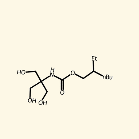 CCCCC(CC)COC(=O)NC(CO)(CO)CO